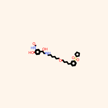 O=CNc1cc([C@@H](O)CNCCCCCCOCCCCc2cccc(S(=O)(=O)C3CCCC3)c2)ccc1O